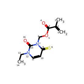 C=C(C)C(=O)OCn1c(=S)ccn(CC)c1=O